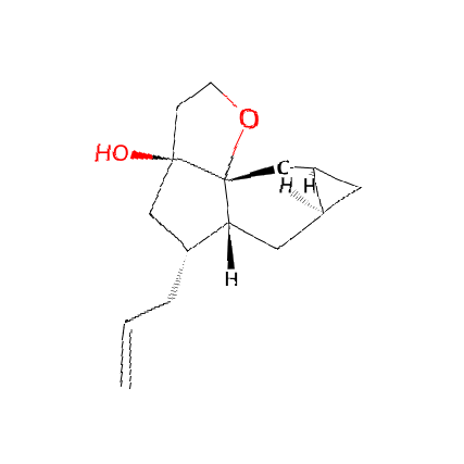 C=CC[C@@H]1C[C@]2(O)CCO[C@@]23C[C@H]2C[C@H]2C[C@H]13